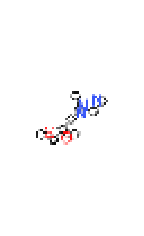 c1ccc(-c2cc(-c3ccc(-c4ccc(-c5cccc6c5oc5ccccc56)c5oc6ccccc6c45)cc3)nc(-c3cccc(-c4ccccn4)c3)n2)cc1